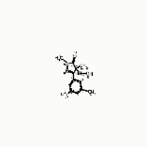 Cc1cc(C)cc(C2=NN(C)C(=O)C2(C)NO)c1